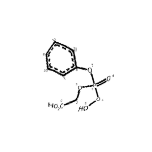 O=C(O)COP(=O)(OO)Oc1ccccc1